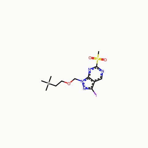 C[Si](C)(C)CCOCn1nc(I)c2cnc(S(C)(=O)=O)nc21